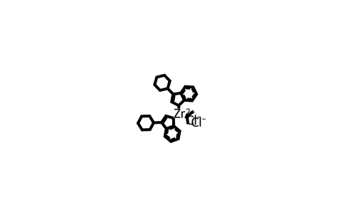 C[C](C)=[Zr+2]([CH]1C=C(C2CCCCC2)c2ccccc21)[CH]1C=C(C2CCCCC2)c2ccccc21.[Cl-].[Cl-]